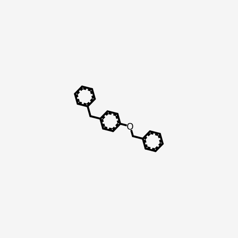 c1ccc(COc2ccc(Cc3ccccc3)cc2)cc1